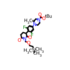 C[C@H]1CN(C(=O)OC(C)(C)C)CCN1c1cc(F)c(C2CCC(=O)N(COCC[Si](C)(C)C)C2=O)c(F)c1